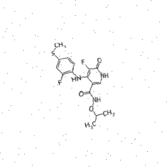 CSc1ccc(Nc2c(C(=O)NOC(C)C)c[nH]c(=O)c2F)c(F)c1